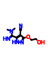 CN(C)C(=N)c1[nH]nc(OCCO)c1C#N